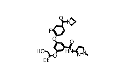 CC[C@@H](CO)Oc1cc(Oc2ccc(C(=O)N3CCC3)cc2F)cc(C(=O)Nc2ccn(C)n2)c1